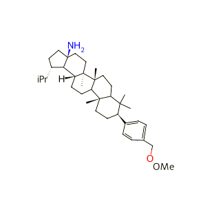 COOCc1ccc([C@H]2CC[C@@]3(C)C(CC[C@]4(C)C3CC[C@@H]3C5[C@H](C(C)C)CC[C@]5(N)CC[C@]34C)C2(C)C)cc1